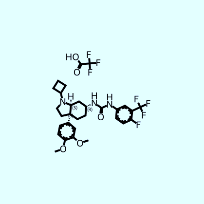 COc1ccc([C@@]23CC[C@@H](NC(=O)Nc4ccc(F)c(C(F)(F)F)c4)C[C@@H]2N(C2CCC2)CC3)cc1OC.O=C(O)C(F)(F)F